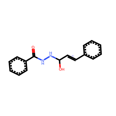 O=C(NNC(O)/C=C/c1ccccc1)c1ccccc1